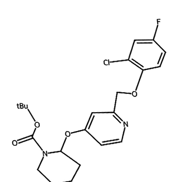 CC(C)(C)OC(=O)N1CCCCC1Oc1ccnc(COc2ccc(F)cc2Cl)c1